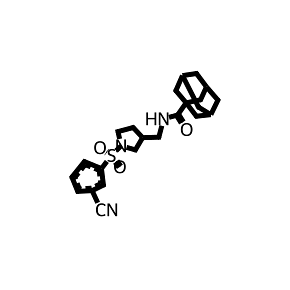 N#Cc1cccc(S(=O)(=O)N2CCC(CNC(=O)C34CC5CC(CC(C5)C3)C4)C2)c1